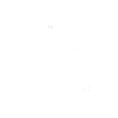 CCOC(=O)Cc1coc2c(Br)cccc12